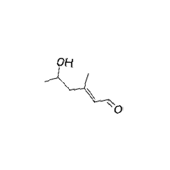 C/C(=C\C=O)CC(C)O